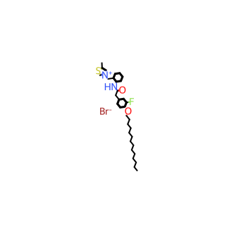 CCCCCCCCCCCCCCOc1ccc(CC(=O)Nc2ccccc2C[n+]2csc(C)c2)cc1F.[Br-]